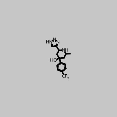 CC1CC(O)(c2ccc(C(F)(F)F)cc2)CC(c2c[nH]nn2)N1